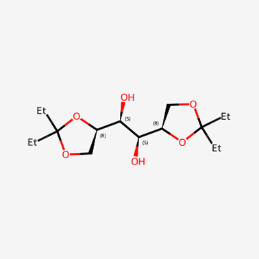 CCC1(CC)OC[C@H]([C@@H](O)[C@H](O)[C@H]2COC(CC)(CC)O2)O1